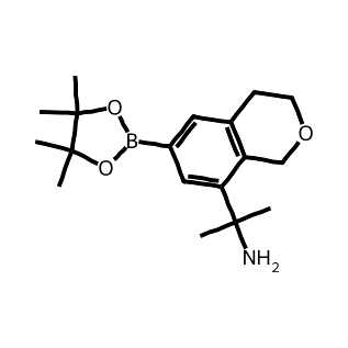 CC(C)(N)c1cc(B2OC(C)(C)C(C)(C)O2)cc2c1COCC2